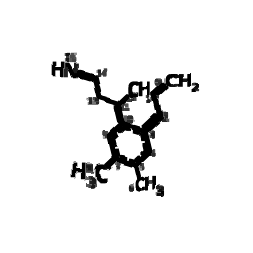 C=C/C=c1/cc(C)c(C)c/c1=C(/C)CC=N